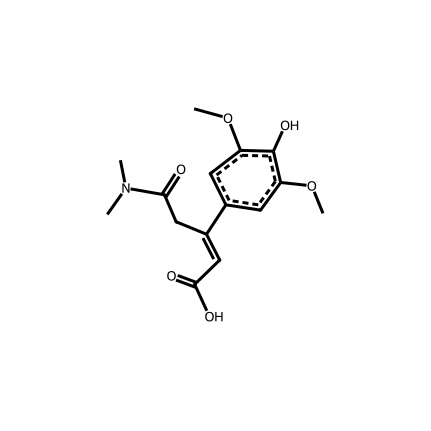 COc1cc(C(=CC(=O)O)CC(=O)N(C)C)cc(OC)c1O